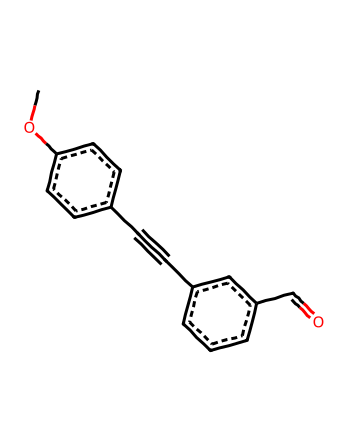 COc1ccc(C#Cc2cccc(C=O)c2)cc1